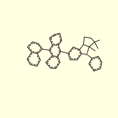 CC1(C)CCC2c3cc(-c4c5ccccc5c(-c5cccc6ccccc56)c5ccccc45)ccc3N(c3ccccc3)C21C